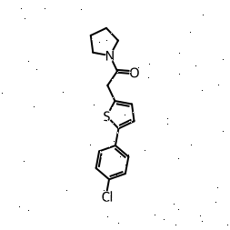 O=C(Cc1ccc(-c2ccc(Cl)cc2)s1)N1CCCC1